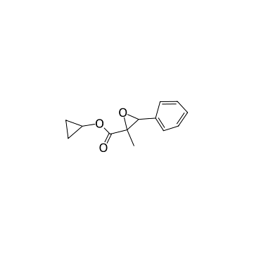 CC1(C(=O)OC2CC2)OC1c1ccccc1